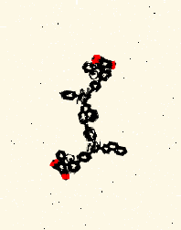 C1=CC(c2ccc(-c3nc(-c4ccc(-c5cccc6c5Oc5ccccc5C65c6ccccc6-c6ccccc65)cc4)cc(-c4ccc5c(ccc6ccccc65)c4)n3)cc2)c2cccc3cc(-c4cc(-c5ccc(-c6cccc7c6Oc6ccccc6C76c7ccccc7-c7ccccc76)cc5)nc(-c5ccccc5)n4)cc1c23